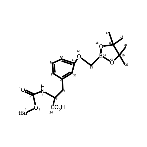 CC(C)(C)OC(=O)NC(Cc1cccc(OCB2OC(C)(C)C(C)(C)O2)c1)C(=O)O